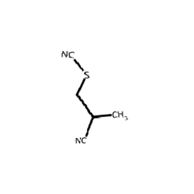 CC(C#N)CSC#N